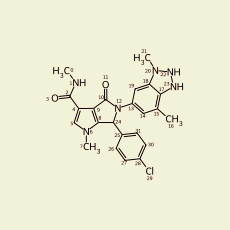 CNC(=O)c1cn(C)c2c1C(=O)N(c1cc(C)c3c(c1)N(C)NN3)C2c1ccc(Cl)cc1